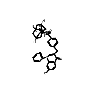 N[C@]12C[C@@H]3C[C@H](C1)[C@@H](NC(=O)c1ccc(Cc4cn(-c5ccccc5)c5cc(Cl)ccc5c4=O)cc1)[C@@H](C3)C2